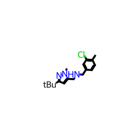 Cc1ccc(CNCc2cc(C(C)(C)C)nn2C)cc1Cl